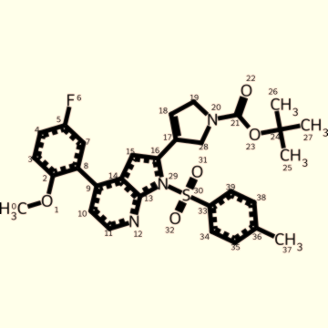 COc1ccc(F)cc1-c1ccnc2c1cc(C1=CCN(C(=O)OC(C)(C)C)C1)n2S(=O)(=O)c1ccc(C)cc1